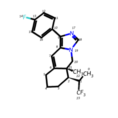 CC([C@H]1CCCC2=Cc3c(-c4ccc(F)cc4)ncn3C[C@@]21C)C(F)(F)F